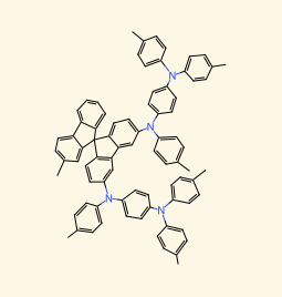 Cc1ccc(N(c2ccc(C)cc2)c2ccc(N(c3ccc(C)cc3)c3ccc4c(c3)-c3cc(N(c5ccc(C)cc5)c5ccc(N(c6ccc(C)cc6)c6ccc(C)cc6)cc5)ccc3C43c4ccccc4-c4ccc(C)cc43)cc2)cc1